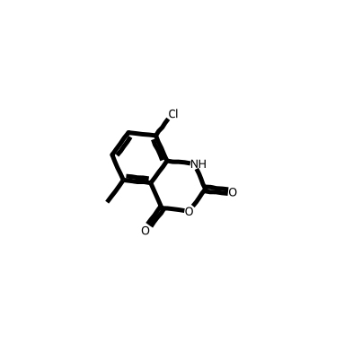 Cc1ccc(Cl)c2[nH]c(=O)oc(=O)c12